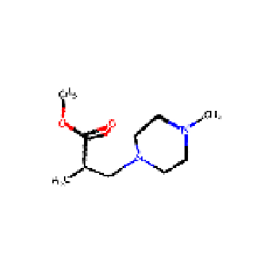 COC(=O)C(C)CN1CCN(C)CC1